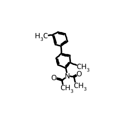 CC(=O)N(C(C)=O)c1ccc(-c2cccc(C)c2)cc1C